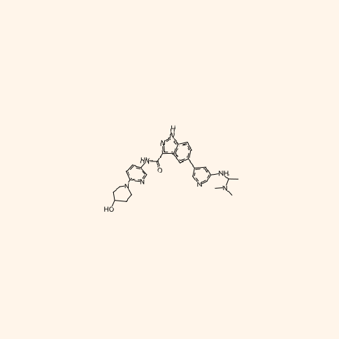 CC(Nc1cncc(-c2ccc3[nH]nc(C(=O)Nc4ccc(N5CCC(O)CC5)nc4)c3c2)c1)N(C)C